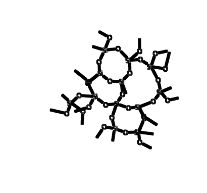 CO[Si]1(C)O[Si]2(OC)O[Si]3(C)O[Si](OC)(O1)O[Si](OC)(O[Si](C)(OC)OC)O[Si]1(O[Si](C)(OC)O[Si](C)(OC)O[Si](OC)(O[Si](C)(OC)O[Si](OC)(OC)O2)O1)O3